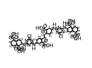 O=S(=O)(O)c1cc(Nc2nc(Cl)nc(Nc3ccc4c(S(=O)(=O)O)cccc4c3S(=O)(=O)O)n2)ccc1C=Cc1ccc(Nc2nc(Cl)nc(Nc3ccc4c(S(=O)(=O)O)cccc4c3S(=O)(=O)O)n2)cc1S(=O)(=O)O